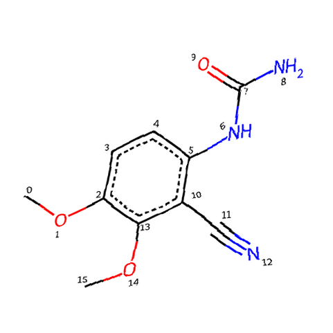 COc1ccc(NC(N)=O)c(C#N)c1OC